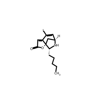 CCCCC[C@H]1N[C@@H]2C=C(I)C3=CC(=O)O[C@@]31C2